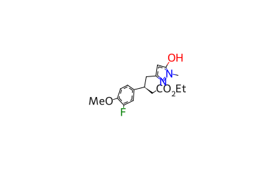 CCOC(=O)C[C@H](Cc1cc(O)n(C)n1)c1ccc(OC)c(F)c1